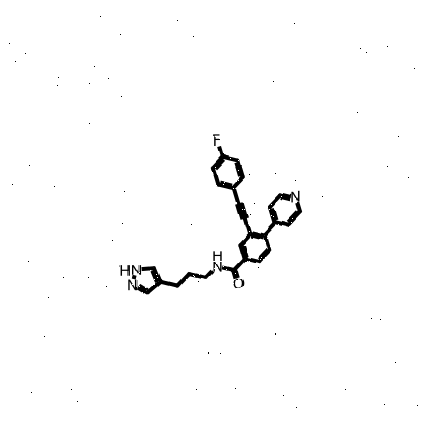 O=C(NCCCc1cn[nH]c1)c1ccc(-c2ccncc2)c(C#Cc2ccc(F)cc2)c1